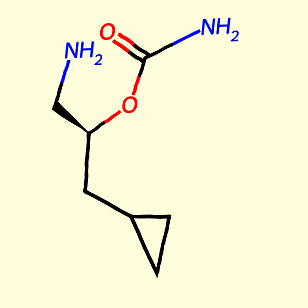 NC[C@H](CC1CC1)OC(N)=O